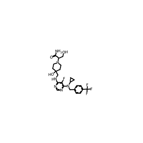 NC(=O)C(CO)N1CCC(O)(CNc2ncnc(N(Cc3ccc(C(F)(F)F)cc3)C3CC3)c2F)CC1